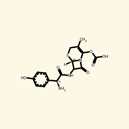 CC1=C(OC(=O)O)N2C(=O)C(NC(=O)[C@@H](N)c3ccc(O)cc3)[C@@H]2SC1